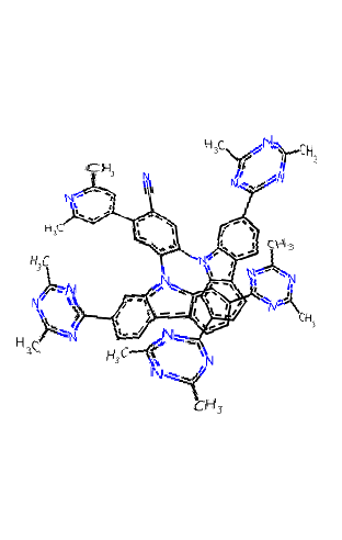 Cc1cc(-c2cc(-n3c4cc(-c5nc(C)nc(C)n5)ccc4c4ccc(-c5nc(C)nc(C)n5)cc43)c(-n3c4cc(-c5nc(C)nc(C)n5)ccc4c4ccc(-c5nc(C)nc(C)n5)cc43)cc2C#N)cc(C)n1